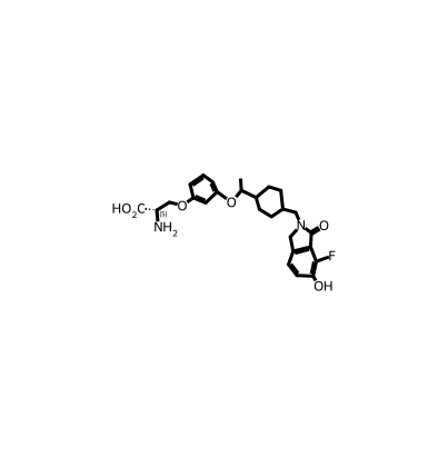 CC(Oc1cccc(OC[C@H](N)C(=O)O)c1)C1CCC(CN2Cc3ccc(O)c(F)c3C2=O)CC1